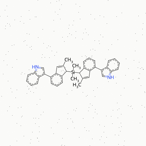 CC1=Cc2c(-c3c[nH]c4ccccc34)cccc2C1[Si](C)(C)C1C(C)=Cc2c(-c3c[nH]c4ccccc34)cccc21